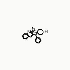 COc1nc2ccccc2cc1C(c1ccccc1)C1(O)CCNCC1